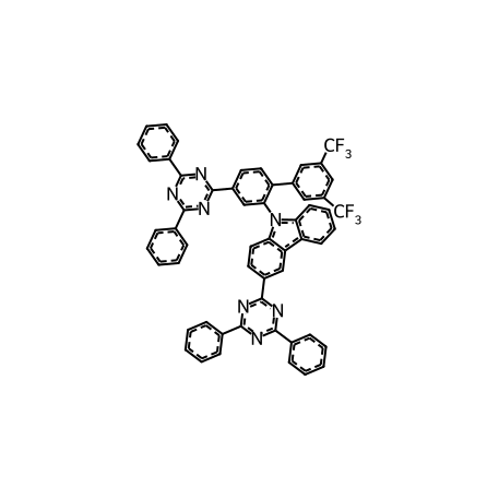 FC(F)(F)c1cc(-c2ccc(-c3nc(-c4ccccc4)nc(-c4ccccc4)n3)cc2-n2c3ccccc3c3cc(-c4nc(-c5ccccc5)nc(-c5ccccc5)n4)ccc32)cc(C(F)(F)F)c1